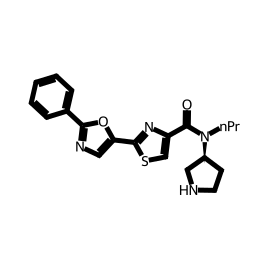 CCCN(C(=O)c1csc(-c2cnc(-c3ccccc3)o2)n1)[C@H]1CCNC1